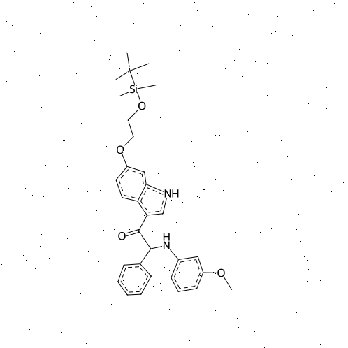 COc1cccc(NC(C(=O)c2c[nH]c3cc(OCCO[Si](C)(C)C(C)(C)C)ccc23)c2ccccc2)c1